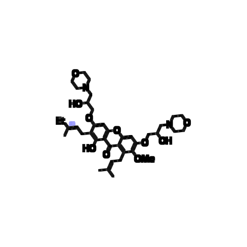 CC/C(C)=C/Cc1c(OCC(O)CN2CCOCC2)cc2oc3cc(OCC(O)CN4CCOCC4)c(OC)c(CC=C(C)C)c3c(=O)c2c1O